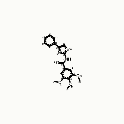 COc1cc(C(=O)Nc2nc(-c3ccccc3)cs2)cc(OC)c1OC